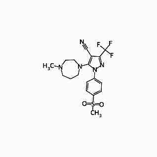 CN1CCCN(c2c(C#N)c(C(F)(F)F)nn2-c2ccc(S(C)(=O)=O)cc2)CC1